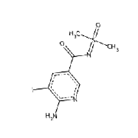 CS(C)(=O)=NC(=O)c1cnc(N)c(I)c1